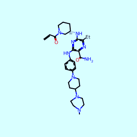 C=CC(=O)N1CCC[C@H](Nc2nc(Nc3ccc(N4CCC(N5CCN(C)CC5)CC4)cc3)c(C(N)=O)nc2CC)C1